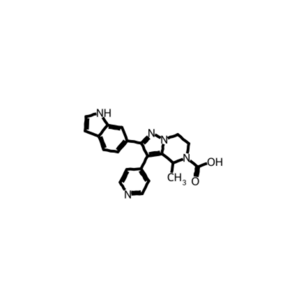 CC1c2c(-c3ccncc3)c(-c3ccc4cc[nH]c4c3)nn2CCN1C(=O)O